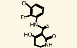 CCc1c(Cl)cccc1NC(=S)C1=C(O)CCNC1=O